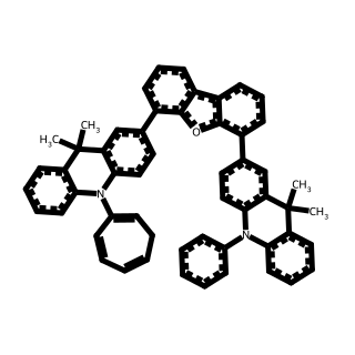 CC1(C)c2ccccc2N(C2=CCC=CC=C2)c2ccc(-c3cccc4c3oc3c(-c5ccc6c(c5)C(C)(C)c5ccccc5N6c5ccccc5)cccc34)cc21